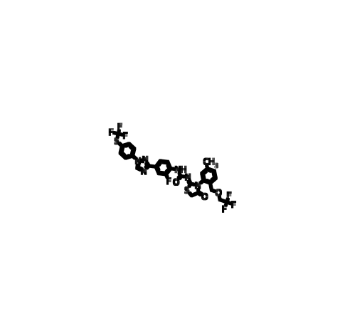 Cc1ccc(COCC(F)(F)F)c(N2C(=O)CSC2=NC(=O)Nc2ccc(-c3ncn(-c4ccc(SC(F)(F)F)cc4)n3)cc2F)c1